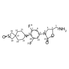 NCC1CN(c2cc(F)c(N3CCC4(CC3)C[S+]([O-])C4)c(F)c2)C(=O)O1